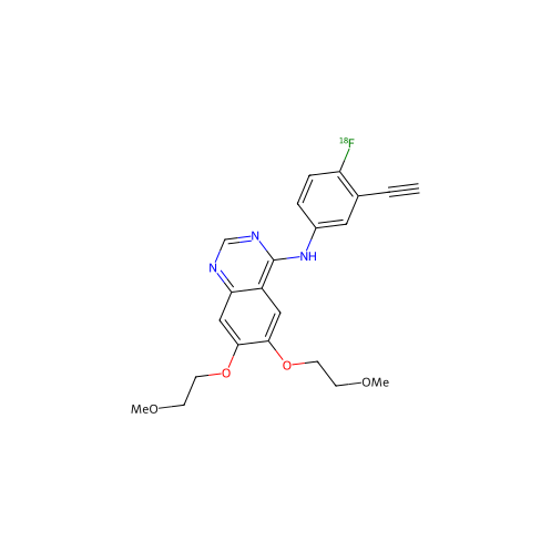 C#Cc1cc(Nc2ncnc3cc(OCCOC)c(OCCOC)cc23)ccc1[18F]